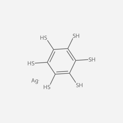 Sc1c(S)c(S)c(S)c(S)c1S.[Ag]